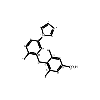 Cc1ccc(-n2ccnc2)cc1Cc1c(C)cc(C(=O)O)cc1C